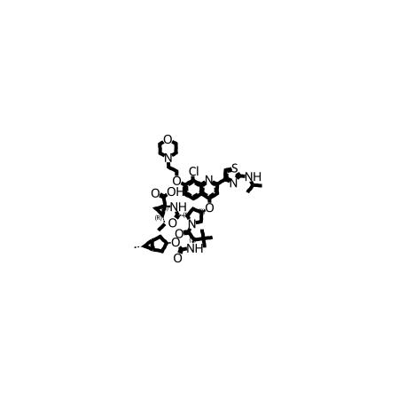 CC[C@@H]1C[C@]1(NC(=O)[C@@H]1C[C@@H](Oc2cc(-c3csc(NC(C)C)n3)nc3c(Cl)c(OCCN4CCOCC4)ccc23)CN1C(=O)[C@@H](NC(=O)O[C@H]1CC2C(C1)[C@@H]2C)C(C)(C)C)C(=O)O